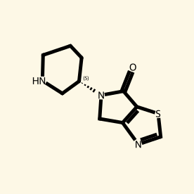 O=C1c2scnc2CN1[C@H]1CCCNC1